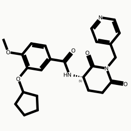 COc1ccc(C(=O)N[C@H]2CCC(=O)N(Cc3ccncc3)C2=O)cc1OC1CCCC1